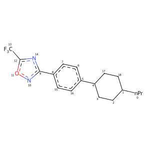 CCCC1CCC(c2ccc(-c3noc(C(F)(F)F)n3)cc2)CC1